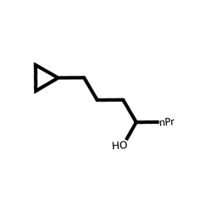 CCCC(O)CCCC1CC1